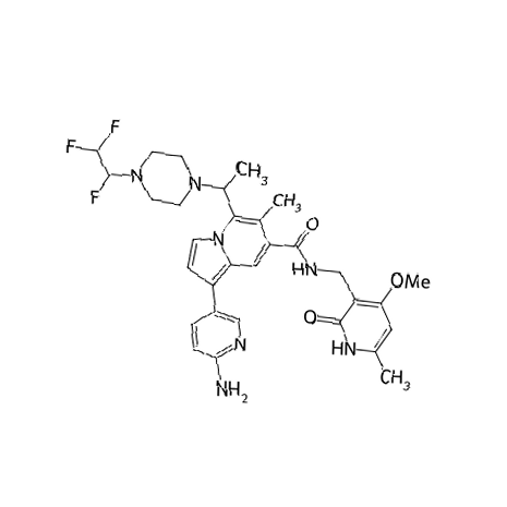 COc1cc(C)[nH]c(=O)c1CNC(=O)c1cc2c(-c3ccc(N)nc3)ccn2c(C(C)N2CCN(C(F)C(F)F)CC2)c1C